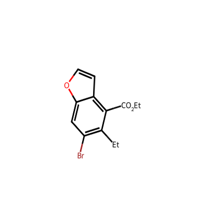 CCOC(=O)c1c(CC)c(Br)cc2occc12